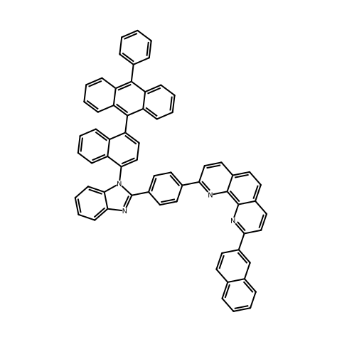 c1ccc(-c2c3ccccc3c(-c3ccc(-n4c(-c5ccc(-c6ccc7ccc8ccc(-c9ccc%10ccccc%10c9)nc8c7n6)cc5)nc5ccccc54)c4ccccc34)c3ccccc23)cc1